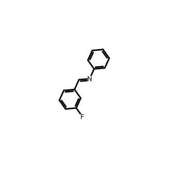 Fc1cccc(C=Nc2ccccc2)c1